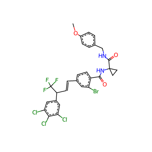 COc1ccc(CNC(=O)C2(NC(=O)c3ccc(/C=C/C(c4cc(Cl)c(Cl)c(Cl)c4)C(F)(F)F)cc3Br)CC2)cc1